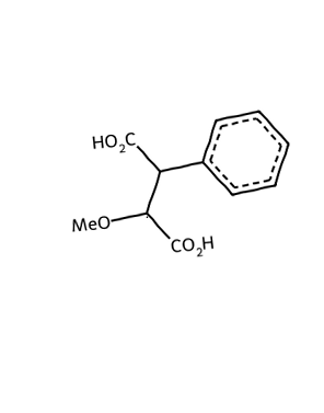 CO[C](C(=O)O)C(C(=O)O)c1ccccc1